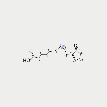 O=C(O)CCCCC/C=C\CC1=CCCC1=O